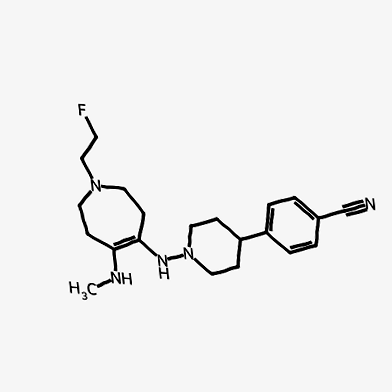 CNC1=C(NN2CCC(c3ccc(C#N)cc3)CC2)CCN(CCF)CC1